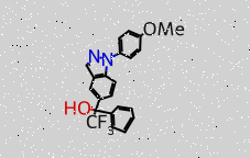 COc1ccc(-n2ncc3cc(C(O)(c4ccccc4)C(F)(F)F)ccc32)cc1